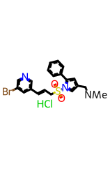 CNCc1cc(-c2ccccc2)n(S(=O)(=O)CC=Cc2cncc(Br)c2)c1.Cl